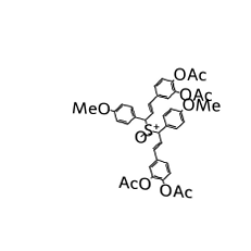 COc1ccc(C(/C=C/c2ccc(OC(C)=O)c(OC(C)=O)c2)[S+]([O-])C(/C=C/c2ccc(OC(C)=O)c(OC(C)=O)c2)c2ccc(OC)cc2)cc1